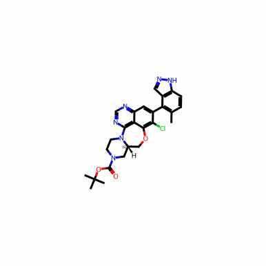 Cc1ccc2[nH]ncc2c1-c1cc2ncnc3c2c(c1Cl)OC[C@@H]1CN(C(=O)OC(C)(C)C)CCN31